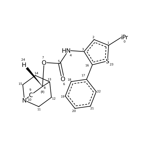 CC(C)c1cc(NC(=O)O[C@H]2CN3CCC2CC3)c(-c2ccccc2)s1